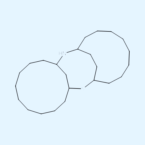 C1CCCCC2CC(CCCC1)SC1CCCCCCCCC(CC1)N2